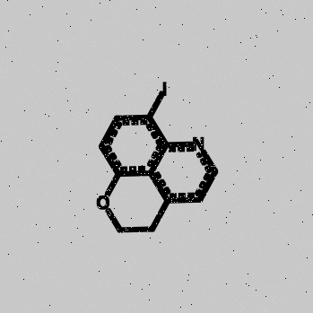 Ic1ccc2c3c(ccnc13)CCO2